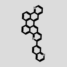 c1cnc2cc(-c3ccc4cc5c6cc7cccnc7c7cccc(c8cccc(c4n3)c85)c67)ccc2c1